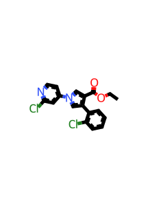 CCOC(=O)c1cn(-c2ccnc(Cl)c2)cc1-c1ccccc1Cl